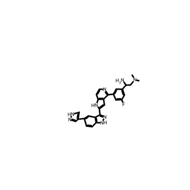 CN(C)CC(N)c1cc(F)cc(-c2nccc3[nH]c(-c4n[nH]c5ccc(-c6cn[nH]c6)cc45)cc23)c1